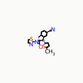 Cc1ccc([C@H]2c3cc(C#N)ccc3C[C@@]23C(=O)N3c2nccs2)s1